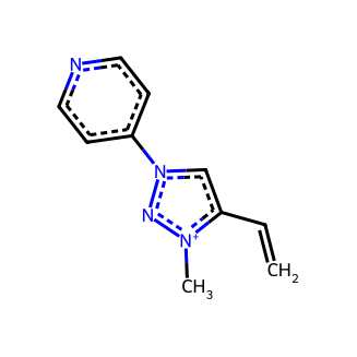 C=Cc1cn(-c2ccncc2)n[n+]1C